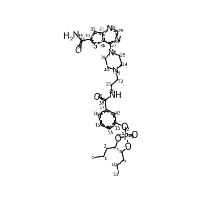 CCCCOP(=O)(OCCCC)Oc1cccc(C(=O)NCCN2CCN(c3ncnc4cc(C(N)=O)sc34)CC2)c1